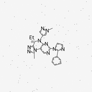 CC[C@H]1c2nnc(C)n2-c2cnc(-n3ccnc3-c3ccccc3)nc2N1c1cnn(C)c1